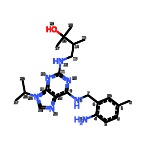 Cc1ccc(N)c(CNc2nc(NCC(C)C(C)(C)O)nc3c2ncn3C(C)C)c1